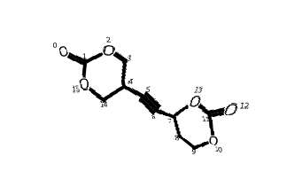 O=C1OCC(C#CC2CCOC(=O)O2)CO1